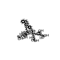 O=C(O)CC[C@@H](NC(=O)N[C@H](CCCCN(Cc1nccc2ccccc12)C(=O)c1ccc(CNC(=O)CN(CCNCC(=O)O)CCN(CCNCC(=O)O)CC(=O)O)cc1)C(=O)O)C(=O)O